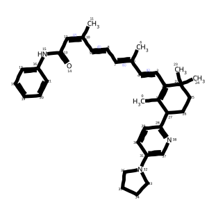 CC1=C(/C=C/C(C)=C/C=C/C(C)=C\C(=O)Nc2ccccc2)C(C)(C)CCC1c1ccc(N2CCCC2)cn1